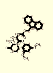 COc1ccc([C@@H]2CSC(=O)[C@H](C)N2C(=O)[C@H](C)NC(=O)OCC2c3ccccc3-c3ccccc32)c(OC)c1